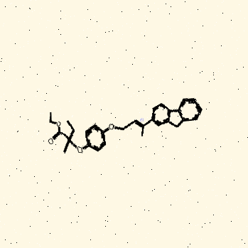 CCOC(=O)C(C)(CC)Oc1ccc(OC/C=C(\C)c2ccc3c(c2)Cc2ccccc2-3)cc1